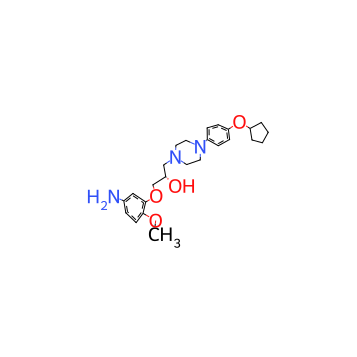 COc1ccc(N)cc1OC[C@@H](O)CN1CCN(c2ccc(OC3CCCC3)cc2)CC1